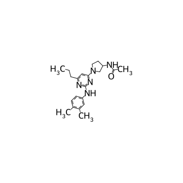 CCCc1cc(N2CCC(NC(C)=O)C2)nc(Nc2ccc(C)c(C)c2)n1